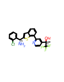 C[C@](O)(c1ccnc(-c2cccc3cc([C@H](N)c4ccccc4Cl)sc23)c1)C(F)(F)F